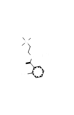 C[N+](C)(C)CCOC(=O)c1ccccc1O.[Li].[SH-]